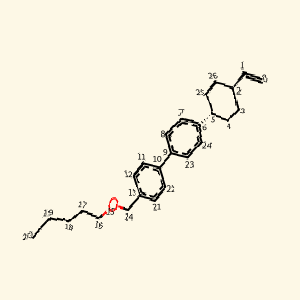 C=C[C@H]1CC[C@H](c2ccc(-c3ccc(COCCCCC)cc3)cc2)CC1